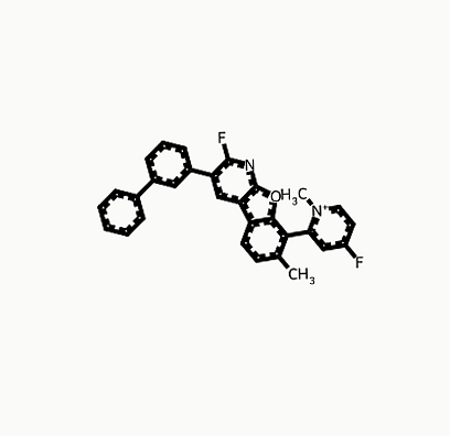 Cc1ccc2c(oc3nc(F)c(-c4cccc(-c5ccccc5)c4)cc32)c1-c1cc(F)cc[n+]1C